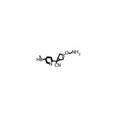 CBc1ccc(C2(C#N)C3CB(OCN)CC32)nc1